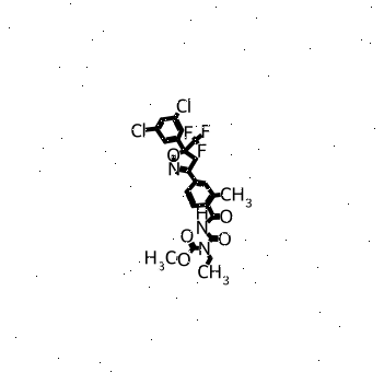 CCN(C(=O)NC(=O)c1ccc(C2=NOC(c3cc(Cl)cc(Cl)c3)(C(F)(F)F)C2)cc1C)C(=O)OC